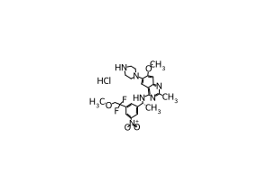 COCC(F)(F)c1cc([C@@H](C)Nc2nc(C)nc3cc(OC)c(N4CCNCC4)cc23)cc([N+](=O)[O-])c1.Cl